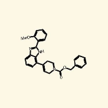 COc1ccccc1-c1nc2cccc(C3=CCN(C(=O)OCc4ccccc4)CC3)c2[nH]1